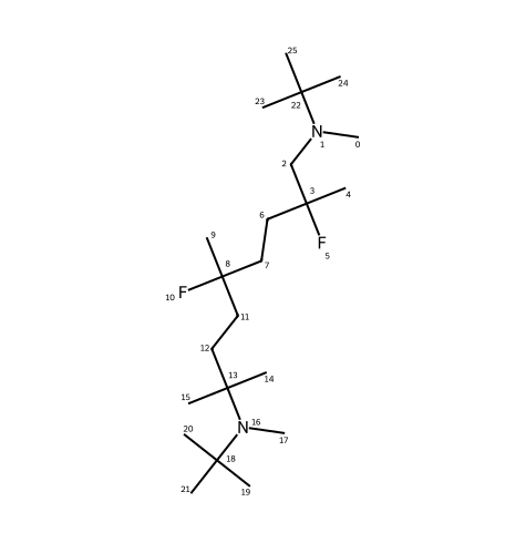 CN(CC(C)(F)CCC(C)(F)CCC(C)(C)N(C)C(C)(C)C)C(C)(C)C